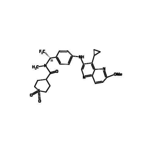 COc1ccc2ncc(Nc3ccc([C@H](N(C)C(=O)C4CCS(=O)(=O)CC4)C(F)(F)F)cc3)c(C3CC3)c2n1